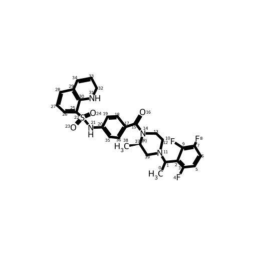 CC(c1c(F)ccc(F)c1F)N1CCN(C(=O)c2ccc(NS(=O)(=O)c3cccc4c3NCC=C4)cc2)[C@H](C)C1